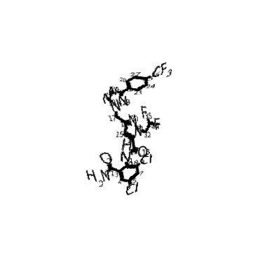 NC(=O)c1cc(Cl)cc(Cl)c1NC(=O)c1cc(Cn2nnc(-c3ccc(C(F)(F)F)cc3)n2)nn1CC(F)F